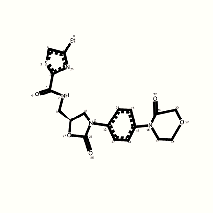 CCc1csc(C(=O)NC[C@H]2CN(c3ccc(N4CCOCC4=O)cc3)C(=O)O2)n1